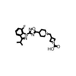 CC(C)c1nn(-c2noc(C3CCN(CC4CN(C(=O)O)C4)CC3)n2)c2c(F)cccc12